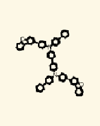 c1ccc(-c2ccc(N(c3ccc(-c4ccc(N(c5ccc(-c6ccccc6)cc5)c5ccc(-c6ccc7oc8ccccc8c7c6)cc5)cc4)cc3)c3ccc(-c4ccc5oc6ccccc6c5c4)cc3)cc2)cc1